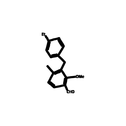 CCc1ccc(Cc2c(C)ccc(C=O)c2OC)cc1